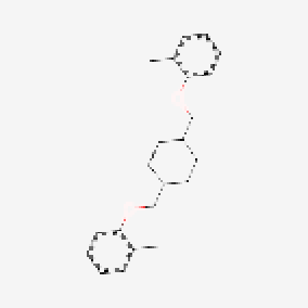 Cc1ccccc1OCC1CCC(COc2ccccc2C)CC1